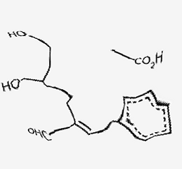 CC(=O)O.O=CC(=Cc1ccccc1)CC(O)CO